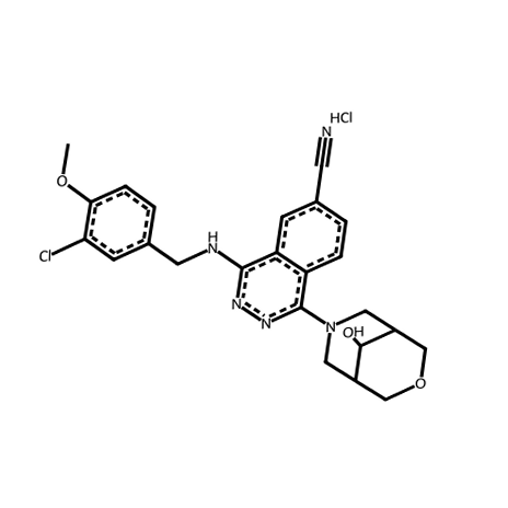 COc1ccc(CNc2nnc(N3CC4COCC(C3)C4O)c3ccc(C#N)cc23)cc1Cl.Cl